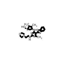 Cc1nc(NCCN2CCOCC2)nc(N[C@@H]2C[C@H](CO)[C@@H](C)[C@H]2C)c1-c1nc2ccccc2s1